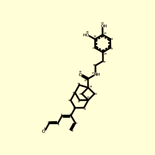 C=C/C(=C\C=C\Cl)C1CC2CC3(C1)CC(C(=O)NCCc1ccc(O)c(O)c1)(C2)C3